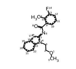 COCCn1/c(=N/C(=O)c2cccc(F)c2C)sc2ccccc21